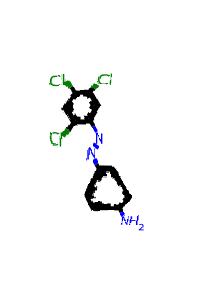 Nc1ccc(N=Nc2cc(Cl)c(Cl)cc2Cl)cc1